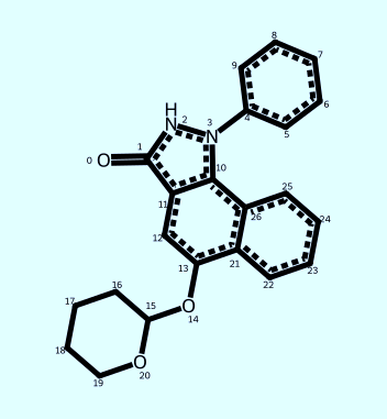 O=c1[nH]n(-c2ccccc2)c2c1cc(OC1CCCCO1)c1ccccc12